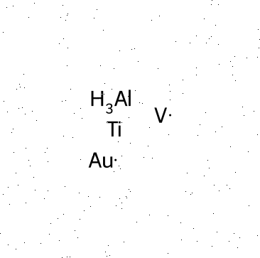 [AlH3].[Au].[Ti].[V]